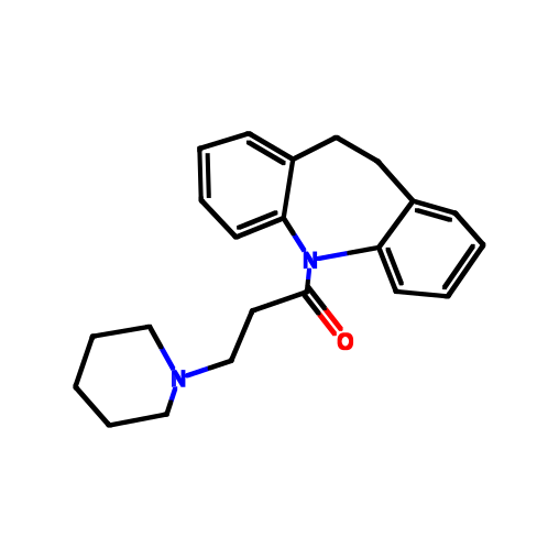 O=C(CCN1CCCCC1)N1c2ccccc2CCc2ccccc21